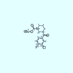 CC(C)(C)OC(=O)N1CCCC(C(=O)c2ccc(F)c(Cl)c2)C1